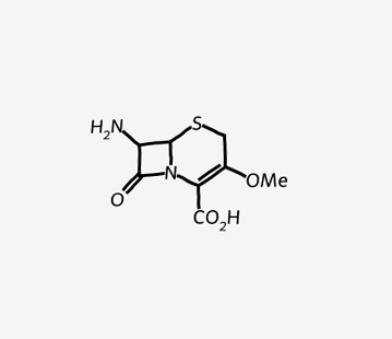 COC1=C(C(=O)O)N2C(=O)C(N)C2SC1